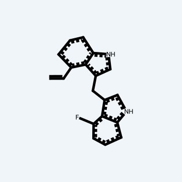 C=Cc1cccc2[nH]cc(Cc3c[nH]c4cccc(F)c34)c12